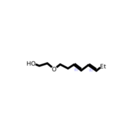 CC/C=C/C=C/CCOCCO